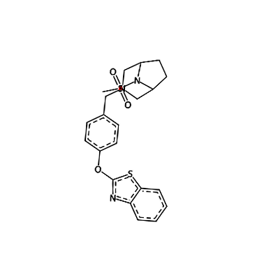 CS(=O)(=O)N1C2CCC1CN(Cc1ccc(Oc3nc4ccccc4s3)cc1)C2